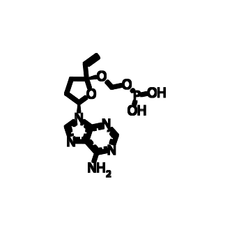 C=C[C@@]1(OCOP(O)O)CC[C@H](n2cnc3c(N)ncnc32)O1